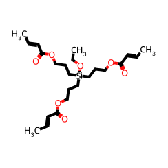 CC=CC(=O)OCCC[Si](CCCOC(=O)C=CC)(CCCOC(=O)C=CC)OCC